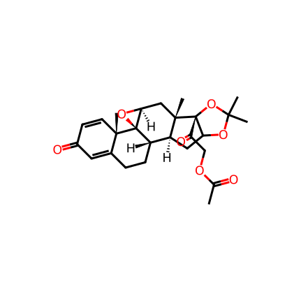 CC(=O)OCC(=O)[C@@]12OC(C)(C)OC1C[C@H]1[C@@H]3CCC4=CC(=O)C=C[C@]4(C)[C@@]34O[C@H]4C[C@@]12C